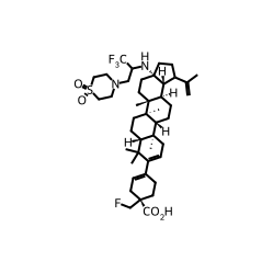 C=C(C)C1CC[C@]2(NC(CN3CCS(=O)(=O)CC3)C(F)(F)F)CC[C@]3(C)[C@H](CC[C@@H]4[C@@]5(C)CC=C(C6=CC[C@](CF)(C(=O)O)CC6)C(C)(C)[C@@H]5CC[C@]43C)[C@@H]12